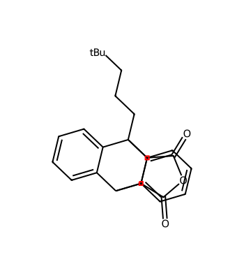 CC(C)(C)CCCC12c3ccccc3C(c3ccccc31)C1C(=O)OC(=O)C12